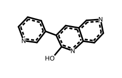 Oc1nc2ccncc2cc1-c1cccnc1